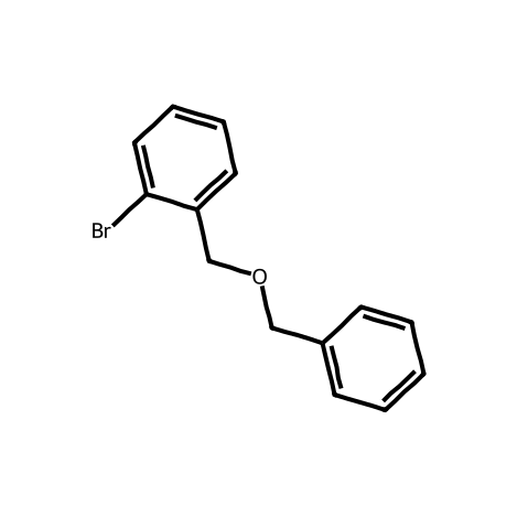 Brc1ccccc1COCc1ccccc1